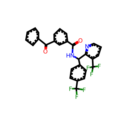 O=C(NC(c1ccc(C(F)(F)F)cc1)c1ncccc1C(F)(F)F)c1cccc(C(=O)c2ccccc2)c1